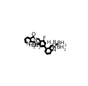 BC1(B)c2ncccc2C(=O)N1Cc1c(C)cc(-c2cccc3nn(C(B)(B)B)cc23)cc1F